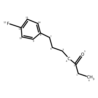 CCC(=O)CCCCc1ccc(F)cc1